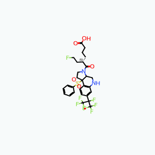 O=C(O)CCC[C@@H](CCF)C(=O)N1CCC2(S(=O)(=O)c3ccccc3)c3ccc(C(F)(C(F)(F)F)C(F)(F)F)cc3NCC12